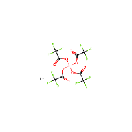 O=C(O[B-](OC(=O)C(F)(F)F)(OC(=O)C(F)(F)F)OC(=O)C(F)(F)F)C(F)(F)F.[Li+]